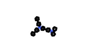 C1=Cc2c(c3c(n2-c2ccc(-c4ccc(N(c5ccc(-c6ccccc6)cc5)c5ccc(-c6ccccc6)cc5)cc4)cc2)C=CCC3)CC1